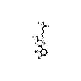 NC(=O)CCCC[C@H](NC(=O)c1cccc(O)c1O)C(N)=O